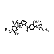 CCOc1cc(C)c(-n2nc3c(Nc4ccc(-n5cnc(C)n5)c(OC)c4)cccc3c2C)cc1C(C)C